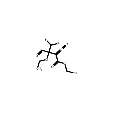 CCOC(=O)C(=C=O)C(C=O)(OCC)C(F)F